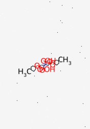 CC1CCC(OC(=O)C/C(C(=O)O)=C(/CC(=O)OC2CCC(C)CC2)C(=O)O)CC1